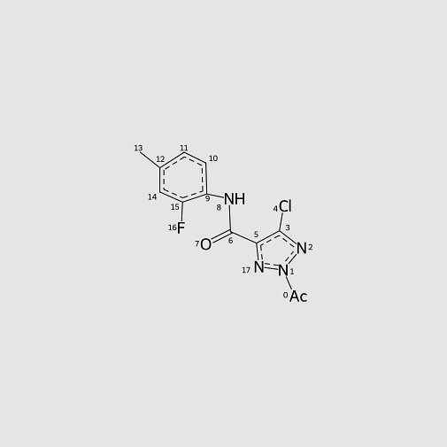 CC(=O)n1nc(Cl)c(C(=O)Nc2ccc(C)cc2F)n1